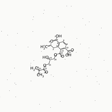 C=CCc1c(C(=O)O)ccc(C(=O)O)c1C(=O)OCC(O)COC(=O)C(=C)C